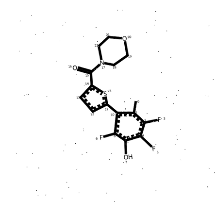 Cc1c(F)c(F)c(O)c(F)c1-c1ccc(C(=O)N2CCOCC2)s1